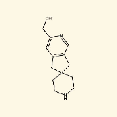 OCc1cc2c(cn1)CC1(CCNCC1)C2